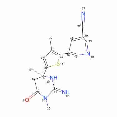 Cc1cc([C@]2(C)CC(=O)N(C)C(=N)N2)sc1-c1cncc(C#N)c1